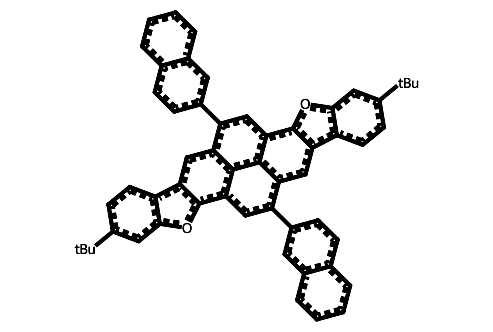 CC(C)(C)c1ccc2c(c1)oc1c2cc2c(-c3ccc4ccccc4c3)cc3c4oc5cc(C(C)(C)C)ccc5c4cc4c(-c5ccc6ccccc6c5)cc1c2c43